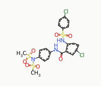 CS(=O)(=O)N(c1ccc(NC(=O)c2cc(Cl)ccc2NS(=O)(=O)c2ccc(Cl)cc2)cc1)S(C)(=O)=O